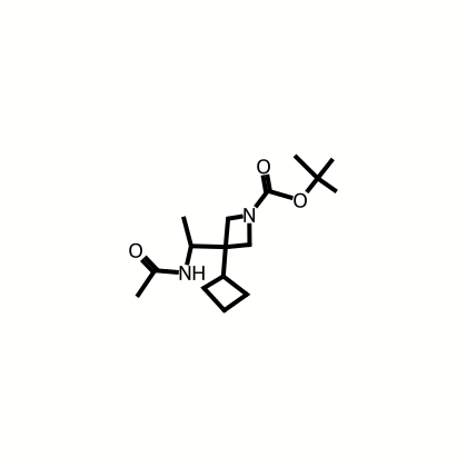 CC(=O)NC(C)C1(C2CCC2)CN(C(=O)OC(C)(C)C)C1